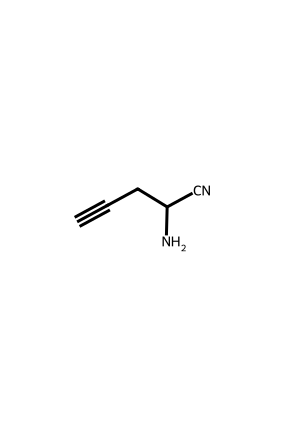 C#CCC(N)C#N